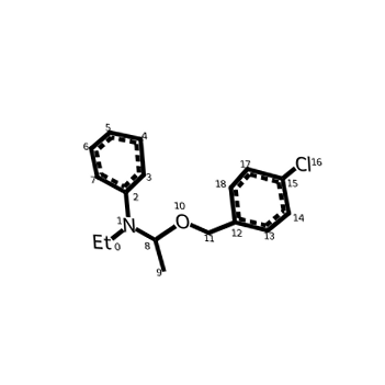 CCN(c1ccccc1)C(C)OCc1ccc(Cl)cc1